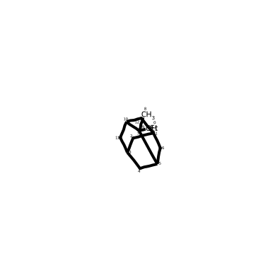 CCC12CC3CC(C1)C(C)(O)C(C3)C2